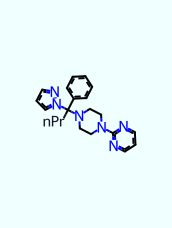 [CH2]CCC(c1ccccc1)(N1CCN(c2ncccn2)CC1)n1cccn1